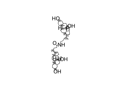 C[C@H](CCC(=O)NCCC[C@H](C)[C@@H]1CCC2[C@H]3[C@H](O)CC4C[C@@H](O)CC[C@@]4(C)[C@@H]3CC[C@]21C)[C@H]1CCC2[C@@H]3[C@@H](O)CC4C[C@H](O)CC[C@]4(C)[C@H]3CC[C@@]21C